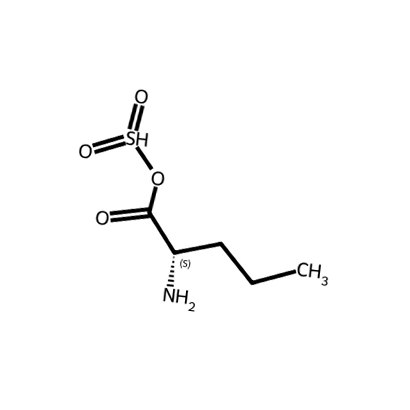 CCC[C@H](N)C(=O)O[SH](=O)=O